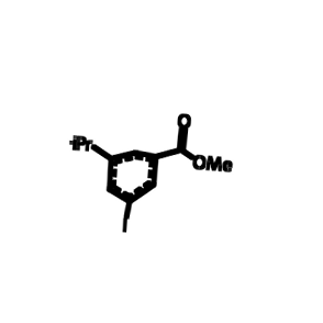 COC(=O)c1cc(I)cc([C](C)C)c1